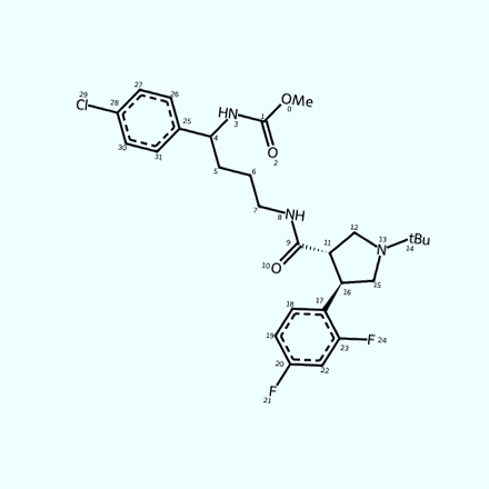 COC(=O)NC(CCCNC(=O)[C@@H]1CN(C(C)(C)C)C[C@H]1c1ccc(F)cc1F)c1ccc(Cl)cc1